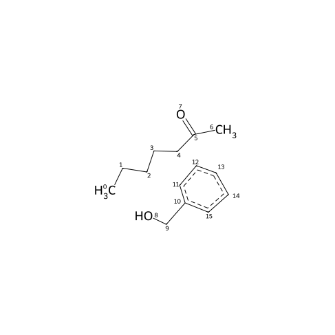 CCCCCC(C)=O.OCc1ccccc1